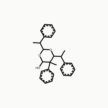 CC(c1ccccc1)C1OC(O)C(C)(c2ccccc2)C(C(C)c2ccccc2)O1